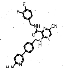 N#Cc1cnc(NCc2ccc(-c3ccc(N)nc3)cc2)c(C(=O)NCc2ccc(F)c(F)c2)n1